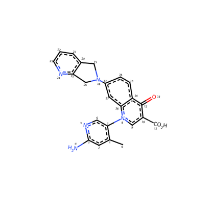 Cc1cc(N)ncc1-n1cc(C(=O)O)c(=O)c2ccc(N3Cc4cccnc4C3)cc21